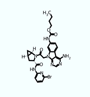 CCCCOC(=O)Nc1ccc2c3c(N)ncnc3n(CC(=O)N3[C@@H]4C[C@@H]4C[C@H]3C(=O)Nc3cccc(Br)n3)c2c1